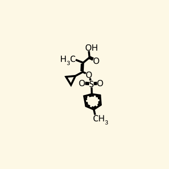 C/C(C(=O)O)=C(/OS(=O)(=O)c1ccc(C)cc1)C1CC1